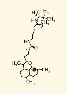 CC1CCC2C(C)C(CCOC(=O)NCCCCC(=O)NC(C)C(C)(C)C)OC3OC4(C)CCC1C32OO4